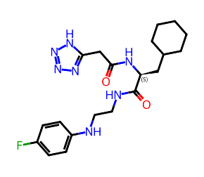 O=C(Cc1nnn[nH]1)N[C@@H](CC1CCCCC1)C(=O)NCCNc1ccc(F)cc1